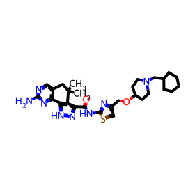 CC1(C)Cc2cnc(N)nc2-c2[nH]nc(C(=O)Nc3nc(COC4CCN(CC5CCCCC5)CC4)cs3)c21